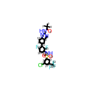 CC(C)(C)C(=O)Nc1ncc2cc(-c3c(F)ccc(NS(=O)(=O)c4cc(Cl)cc(C(F)(F)F)c4)c3F)ccc2n1